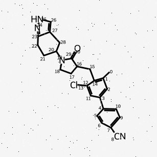 Cc1cc(-c2ccc(C#N)cc2)cc(Cl)c1CC1CCN(C2CCc3n[nH]cc3C2)C1=O